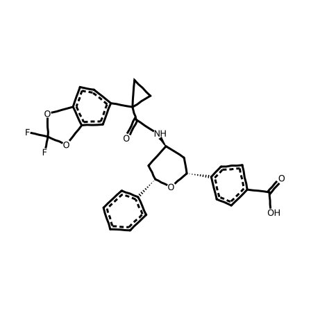 O=C(O)c1ccc([C@H]2C[C@H](NC(=O)C3(c4ccc5c(c4)OC(F)(F)O5)CC3)C[C@@H](c3ccccc3)O2)cc1